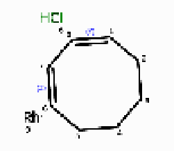 C1=C\CCCC\C=C/1.Cl.[Rh]